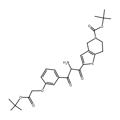 CC(C)(C)OC(=O)COc1cccc(C(=O)C(N)C(=O)c2cc3c(s2)CCN(C(=O)OC(C)(C)C)C3)c1